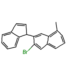 Cc1cccc2cc(Br)c(C3C=Cc4ccccc43)cc12